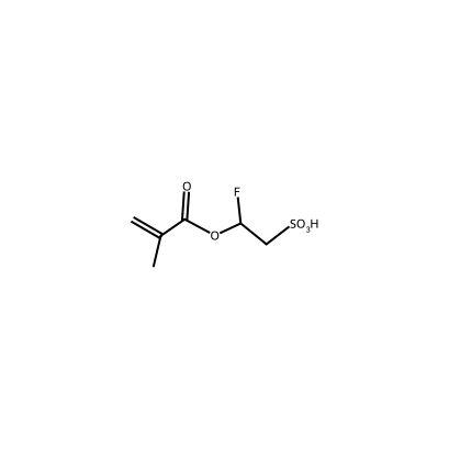 C=C(C)C(=O)OC(F)CS(=O)(=O)O